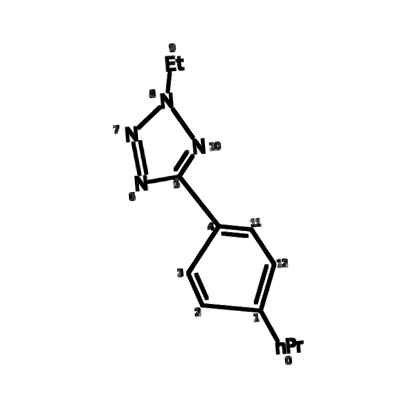 CCCc1ccc(-c2nnn(CC)n2)cc1